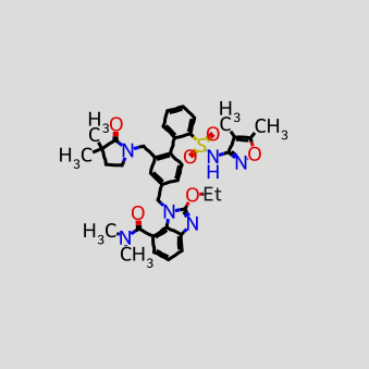 CCOc1nc2cccc(C(=O)N(C)C)c2n1Cc1ccc(-c2ccccc2S(=O)(=O)Nc2noc(C)c2C)c(CN2CCC(C)(C)C2=O)c1